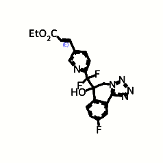 CCOC(=O)/C=C/c1ccc(C(F)(F)C2(O)Cn3nnnc3-c3cc(F)ccc32)nc1